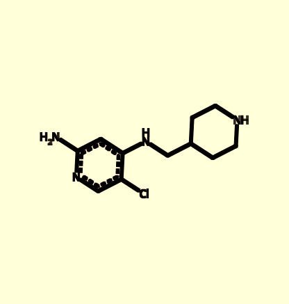 Nc1cc(NCC2CCNCC2)c(Cl)cn1